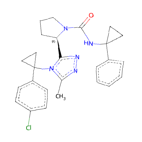 Cc1nnc([C@H]2CCCN2C(=O)NC2(c3ccccc3)CC2)n1C1(c2ccc(Cl)cc2)CC1